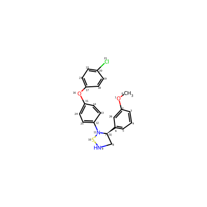 COc1cccc([C@H]2CNSN2c2ccc(Oc3ccc(Cl)cc3)cc2)c1